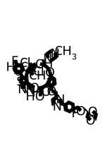 Cc1c(Cl)c2c(Cl)c(C)c1-c1c(-c3ccc(F)cc3)sc3ncnc(c13)O[C@@H](C(=O)O)Cc1cc(ccc1OCc1ccnc(C3=CC[C@@](F)(COC[C@@H]4COCCO4)CC3)n1)OC[C@@H](CN1CCN(C)CC1)O2